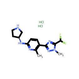 Cc1nc(N[C@H]2CCNC2)ccc1-c1nc(C(F)F)n(C)n1.Cl.Cl